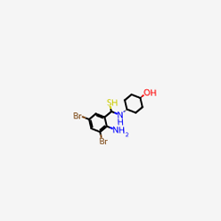 Nc1c(Br)cc(Br)cc1C(S)N[C@H]1CC[C@H](O)CC1